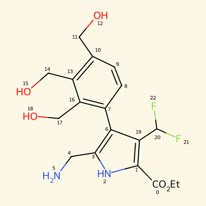 CCOC(=O)c1[nH]c(CN)c(-c2ccc(CO)c(CO)c2CO)c1C(F)F